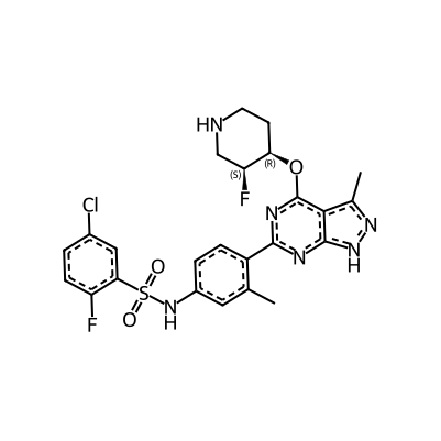 Cc1cc(NS(=O)(=O)c2cc(Cl)ccc2F)ccc1-c1nc(O[C@@H]2CCNC[C@@H]2F)c2c(C)n[nH]c2n1